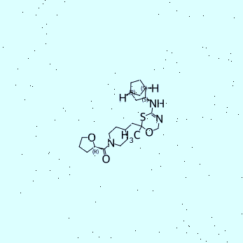 CC1(CC2CCN(C(=O)[C@H]3CCCO3)CC2)OCN=C(N[C@H]2C[C@@H]3CC[C@H]2C3)S1